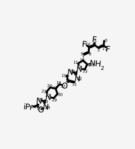 C\C(F)=C/C(F)=C(F)\C=C\[C@H]1CN(c2ncc(OCC3CCN(c4noc(C(C)C)n4)CC3)cn2)C[C@@H]1N